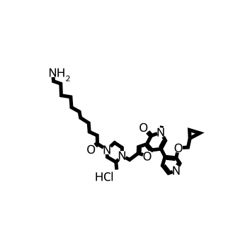 CC1CN(C(=O)CCCCCCCCCCN)CCN1Cc1cc2c(=O)n(C)cc(-c3ccncc3OCC3CC3)c2o1.Cl